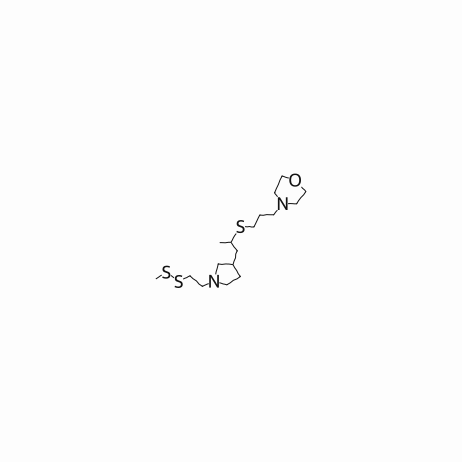 CSSCCN1CCC(CC(C)SCCCN2CCOCC2)C1